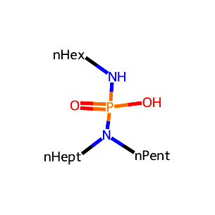 CCCCCCCN(CCCCC)P(=O)(O)NCCCCCC